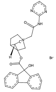 O=C(C[N+]12CCC(CC1)[C@@H](OC(=O)C1(O)c3ccccc3-c3ccccc31)C2)Nc1ncccn1.[Br-]